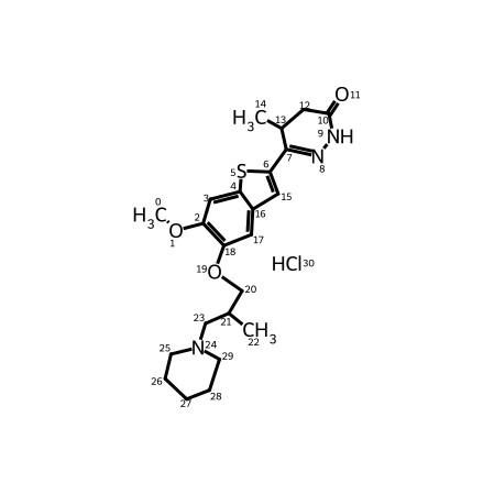 COc1cc2sc(C3=NNC(=O)CC3C)cc2cc1OCC(C)CN1CCCCC1.Cl